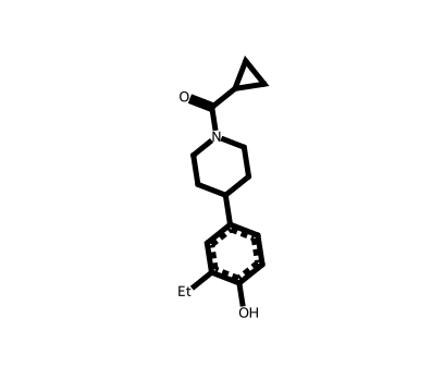 CCc1cc(C2CCN(C(=O)C3CC3)CC2)ccc1O